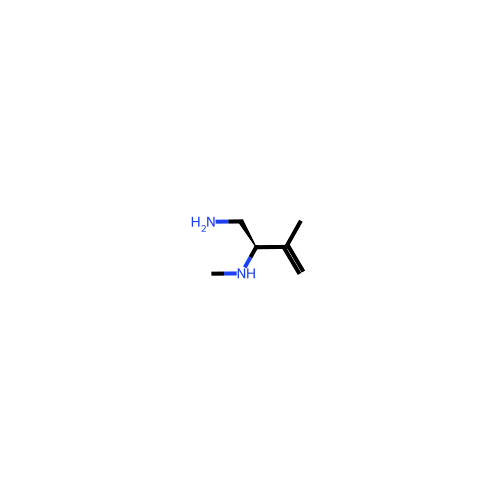 C=C(C)[C@H](CN)NC